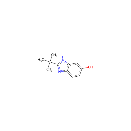 CC(C)(C)c1nc2ccc(O)cc2[nH]1